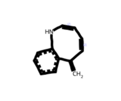 C=C1/C=C\C=C/Nc2ccccc21